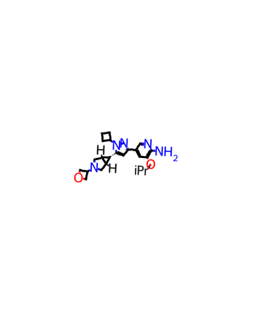 CC(C)Oc1cc(-c2cc([C@@H]3[C@@H]4CN(C5COC5)C[C@@H]43)n(C3CCC3)n2)cnc1N